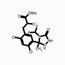 COC(=O)C(Cl)Cc1cc(C2(C)NNC(=O)N2C(F)F)c(Cl)cc1Cl